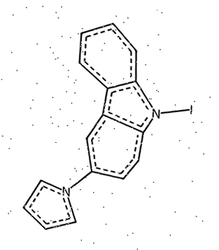 In1c2ccccc2c2cc(-n3cccc3)ccc21